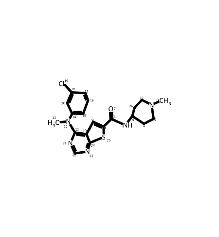 CN1CCC(NC(=O)c2cc3c(N(C)c4cccc(Cl)c4)ncnc3s2)CC1